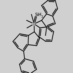 CC1=Cc2ccccc2[CH]1[Ti]([CH3])([CH3])([CH3])(=[SiH2])([c]1ccccc1)[CH]1C=Cc2c(-c3ccccc3)cccc21